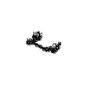 CN[C@@H](C)C(=O)N[C@H](C(=O)N1CCC[C@H]1C(=O)N[C@H]1c2ccccc2C[C@H]1OCCOCCOCCOc1ccc(C(=O)NC2C(C)(C)C(Oc3ccc(C#N)c(Cl)c3)C2(C)C)cc1)C(C)(C)C